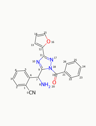 N#Cc1ccccc1C(N)c1nc(-c2ccco2)nn1C(=O)c1ccccc1